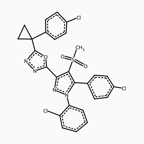 CS(=O)(=O)c1c(-c2nnc(C3(c4ccc(Cl)cc4)CC3)o2)nn(-c2ccccc2Cl)c1-c1ccc(Cl)cc1